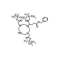 CC(C)(C)CC(=O)C(CCC(=O)OCc1ccccc1)N1CCN(CC(=O)OC(C)(C)C)CCNCCN(CC(=O)OC(C)(C)C)CC1